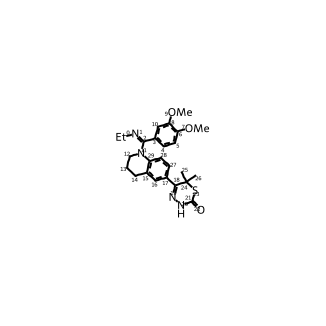 CC/N=C(/c1ccc(OC)c(OC)c1)N1CCCc2cc(C3=NNC(=O)SC3(C)C)ccc21